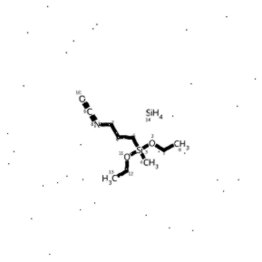 CCO[Si](C)(CCCN=C=O)OCC.[SiH4]